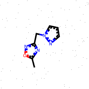 Cc1nc(Cn2c[c]cn2)no1